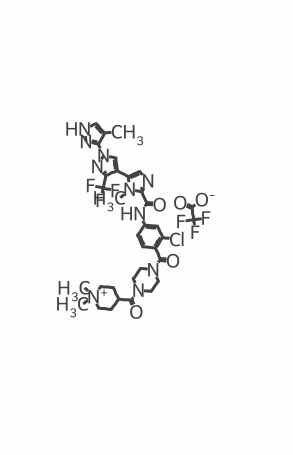 Cc1c[nH]nc1-n1cc(-c2cnc(C(=O)Nc3ccc(C(=O)N4CCN(C(=O)C5CC[N+](C)(C)CC5)CC4)c(Cl)c3)n2C)c(C(F)(F)F)n1.O=C([O-])C(F)(F)F